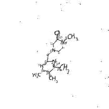 Cc1nc(CN2CCN(C)C(=O)C2)nc(C)c1C